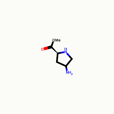 COC(=O)[C@@H]1CC(N)CN1